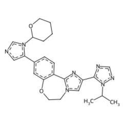 CC(C)n1ncnc1-c1cn2c(n1)-c1ccc(-c3cncn3C3CCCCO3)cc1OCC2